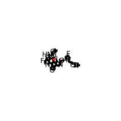 CC(C)(C)OC(=O)Nc1sc2c(F)cnc(-c3c4c(c5cnc(OC[C@@H]6C[C@H](F)CN6CCO[Si](C)(C)C(C)(C)C)nc5c3F)COC4)c2c1C#N